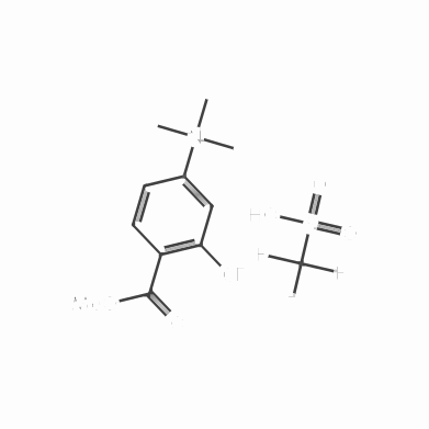 COC(=O)c1ccc([N+](C)(C)C)cc1C(F)(F)F.O=S(=O)(O)C(F)(F)F